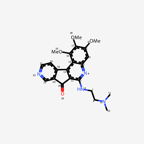 COc1cc2nc(NCCN(C)C)c3c(c2c(OC)c1OC)-c1ccncc1C3=O